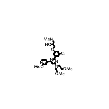 CNCC(O)COc1cc(Cl)cc(-c2nc(-c3ccnc(OC)c3)cc(N(CCOC)CCOC)n2)c1